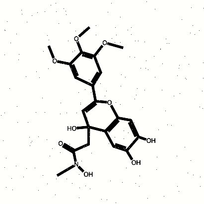 COc1cc(C2=CC(O)(CC(=O)N(C)O)c3cc(O)c(O)cc3O2)cc(OC)c1OC